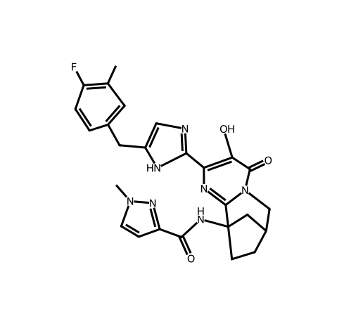 Cc1cc(Cc2cnc(-c3nc4n(c(=O)c3O)CC3CCC4(NC(=O)c4ccn(C)n4)C3)[nH]2)ccc1F